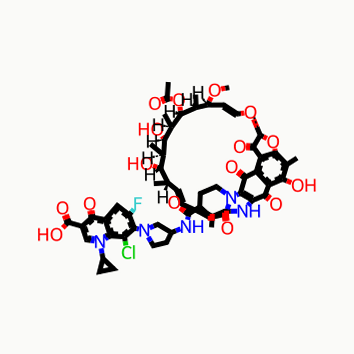 CO[C@H]1/C=C/O[C@@]2(C)Oc3c(C)c(O)c4c(c3C2=O)C(=O)C(N2CCC(C(=O)NC3CCN(c5c(F)cc6c(=O)c(C(=O)O)cn(C7CC7)c6c5Cl)C3)CC2)=C(NC(=O)/C(C)=C\C=C\[C@H](C)[C@H](O)[C@@H](C)[C@@H](O)[C@@H](C)[C@H](OC(C)=O)[C@@H]1C)C4=O